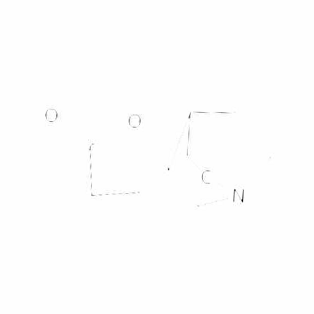 O=C1CCC2(CN3CCC2CC3)O1